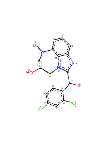 CCN(CC)c1cccc2nc(C(O)c3ccc(Cl)cc3Cl)n(CCO)c12